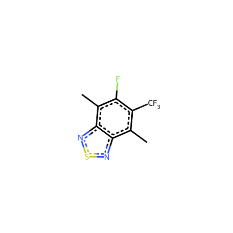 Cc1c(F)c(C(F)(F)F)c(C)c2nsnc12